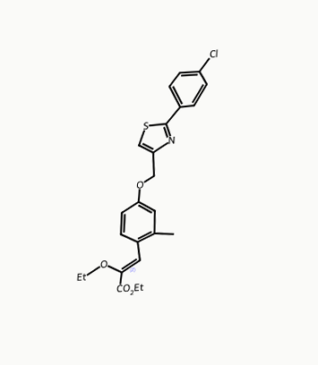 CCOC(=O)/C(=C/c1ccc(OCc2csc(-c3ccc(Cl)cc3)n2)cc1C)OCC